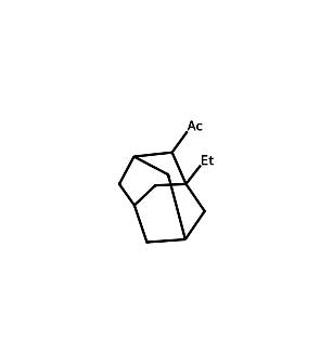 CCC12CC3CC(CC(C3)C1C(C)=O)C2